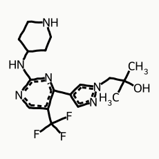 CC(C)(O)Cn1cc(-c2nc(NC3CCNCC3)ncc2C(F)(F)F)cn1